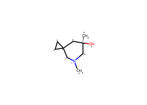 CN1CC2(CC2)C[C@@](C)(O)C1